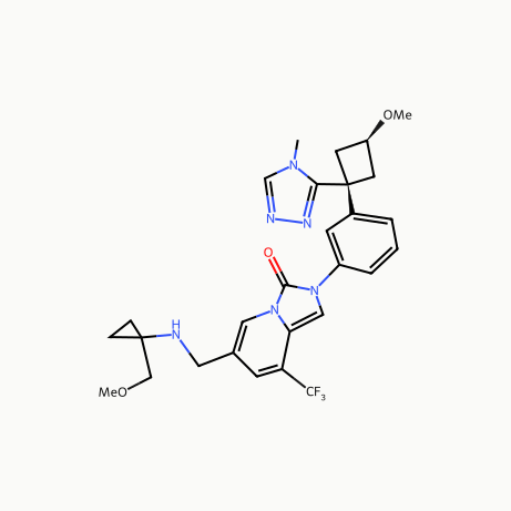 COCC1(NCc2cc(C(F)(F)F)c3cn(-c4cccc([C@]5(c6nncn6C)C[C@H](OC)C5)c4)c(=O)n3c2)CC1